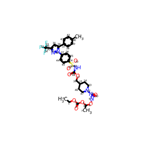 CCOC(=O)OC(C)On1on1N1CCC(COC(=O)NS(=O)(=O)c2ccc(-n3nc(C(F)(F)F)cc3-c3ccc(C)cc3)cc2)CC1